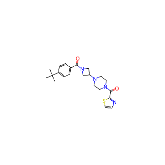 CC(C)(C)c1ccc(C(=O)N2CC(N3CCN(C(=O)c4nccs4)CC3)C2)cc1